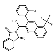 CC(c1nc2cccc(C(F)(F)F)c2nc1-c1ccccc1Cl)N1C(=O)c2ccccc2C1=O